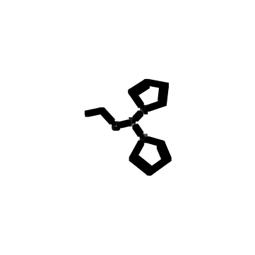 CCOP(n1cccc1)n1cccc1